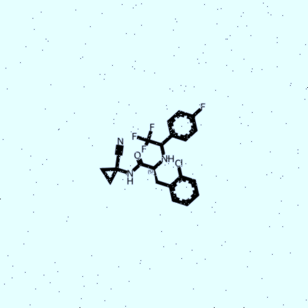 N#CC1(NC(=O)[C@H](Cc2ccccc2Cl)NC(c2ccc(F)cc2)C(F)(F)F)CC1